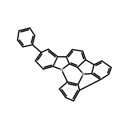 c1ccc(-c2ccc3c(c2)c2ccc4c5c2n3-c2cccc3c2B5c2c-3cccc2-4)cc1